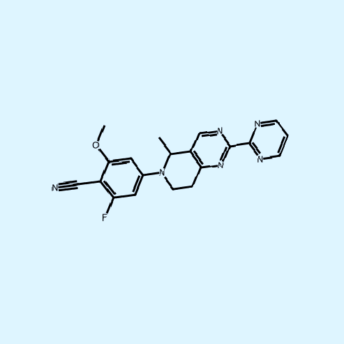 COc1cc(N2CCc3nc(-c4ncccn4)ncc3C2C)cc(F)c1C#N